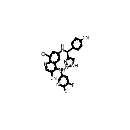 N#Cc1ccc(C(Nc2cc(Cl)c3ncc(C#N)c(Nc4cnc(F)c(F)c4)c3c2)c2c[nH]nn2)cc1